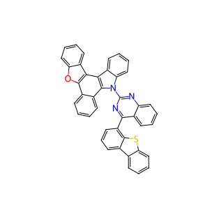 c1ccc2c(-c3cccc4c3sc3ccccc34)nc(-n3c4ccccc4c4c5c6ccccc6oc5c5ccccc5c43)nc2c1